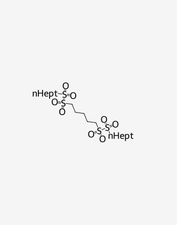 CCCCCCCS(=O)(=O)S(=O)(=O)CCCCCS(=O)(=O)S(=O)(=O)CCCCCCC